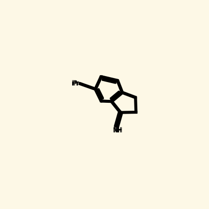 CC(C)c1ccc2c(c1)C(=N)CC2